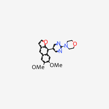 COc1cc2cc3ccoc3c(-c3cnc(N4CCOCC4)nc3)c2cc1OC